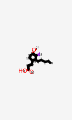 CCCCCc1c(C=CC(=O)O)ccc(OC)c1I